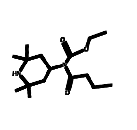 CCCC(=O)N(C(=O)OCC)C1CC(C)(C)NC(C)(C)C1